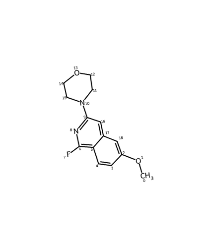 COc1ccc2c(F)nc(N3CCOCC3)cc2c1